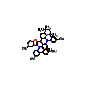 Cc1cc2c3c(c1)N(c1ccc(C(C)(C)C)cc1-c1ccc(C(C)(C)C)cc1)c1c(oc4ccc(C(C)(C)C)cc14)B3c1ccc3c4c1N2c1ccc(C(C)(C)C)cc1C4(C)CCC3(C)C